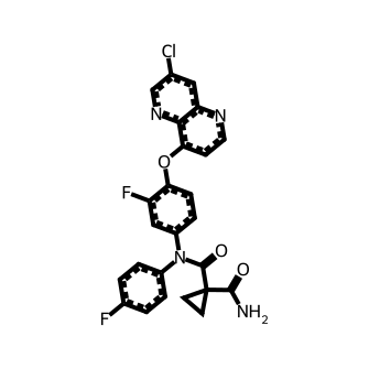 NC(=O)C1(C(=O)N(c2ccc(F)cc2)c2ccc(Oc3ccnc4cc(Cl)cnc34)c(F)c2)CC1